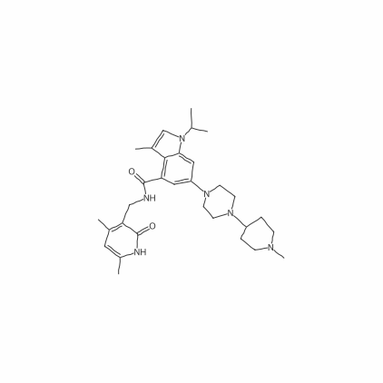 Cc1cc(C)c(CNC(=O)c2cc(N3CCN(C4CCN(C)CC4)CC3)cc3c2c(C)cn3C(C)C)c(=O)[nH]1